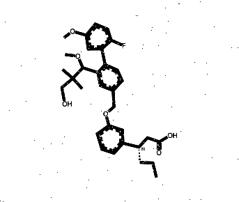 CCC[C@@H](CC(=O)O)c1cccc(OCc2ccc(-c3cc(OC)ccc3F)c(C(OC)C(C)(C)CO)c2)c1